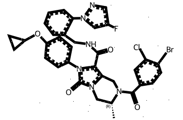 C[C@@H]1Cn2c(c(C(=O)NCc3ccccc3-n3cc(F)cn3)n(-c3ccc(OC4CC4)cc3)c2=O)CN1C(=O)c1ccc(Br)c(Cl)c1